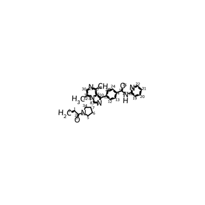 C=CC(=O)N1CC[C@@H](c2nc(-c3ccc(C(=O)Nc4ccccn4)cc3)c3c(C)ncc(C)n23)C1